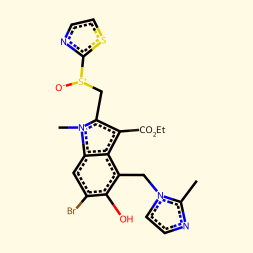 CCOC(=O)c1c(C[S+]([O-])c2nccs2)n(C)c2cc(Br)c(O)c(Cn3ccnc3C)c12